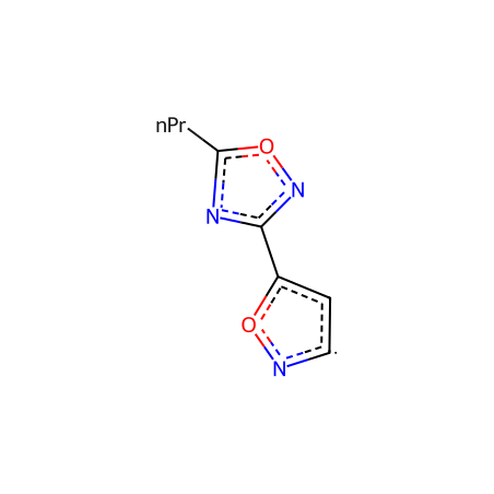 CCCc1nc(-c2c[c]no2)no1